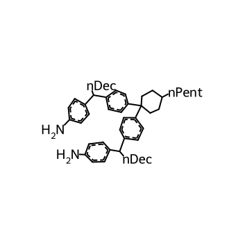 CCCCCCCCCCC(c1ccc(N)cc1)c1ccc(C2(c3ccc(C(CCCCCCCCCC)c4ccc(N)cc4)cc3)CCC(CCCCC)CC2)cc1